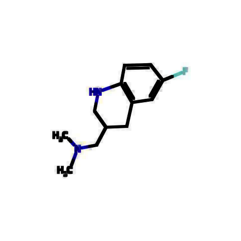 CN(C)CC1CNc2ccc(F)cc2C1